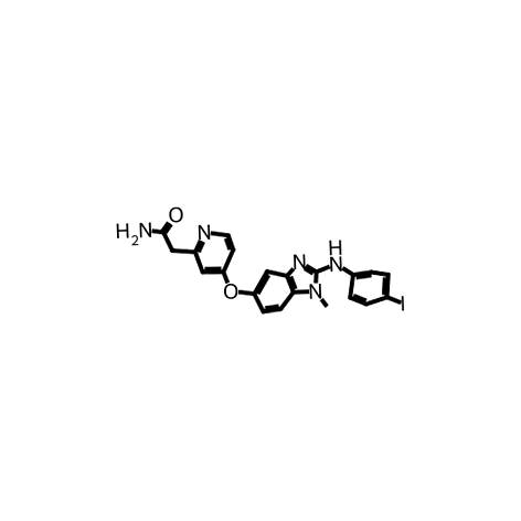 Cn1c(Nc2ccc(I)cc2)nc2cc(Oc3ccnc(CC(N)=O)c3)ccc21